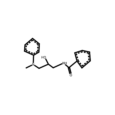 CN(CC(O)CNC(=O)c1ccccc1)c1ccccc1